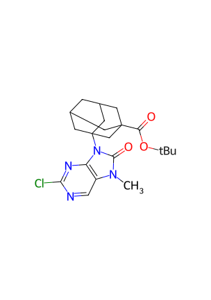 Cn1c(=O)n(C23CC4CC(CC(C(=O)OC(C)(C)C)(C4)C2)C3)c2nc(Cl)ncc21